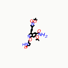 CC(C)Oc1cc2c(OCC3CCC(=O)N3)ncc(C#CC3CN(C(=O)OC(C)(C)C)C3)c2cc1C(N)=O